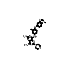 Bc1nc(Nc2ccc(Oc3ccc4c(c3)ncn4C)c(C)c2)c2nc(N3CCOCC3)nc(O)c2n1